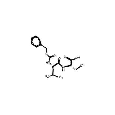 CC(C)[C@H](NC(=O)OCc1ccccc1)C(=O)N[C@@H](CO)C(=O)O